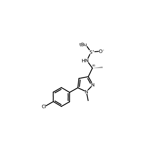 C[C@@H](N[S+]([O-])C(C)(C)C)c1cc(-c2ccc(Cl)cc2)n(C)n1